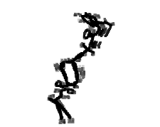 CCC1(NC(=O)NC(C)(C)C#Cc2ccc(S(=O)(=O)CCC(C)(C)C)cc2)CN2CCC1CC2